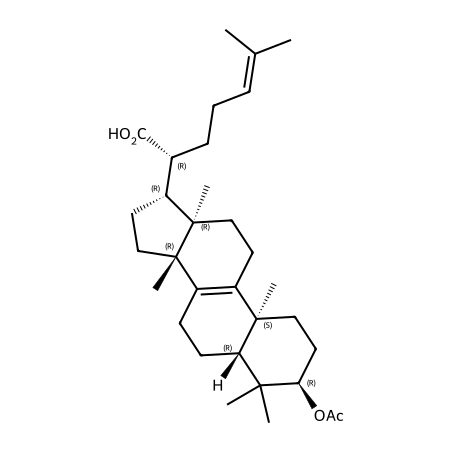 CC(=O)O[C@@H]1CC[C@]2(C)C3=C(CC[C@H]2C1(C)C)[C@]1(C)CC[C@H]([C@@H](CCC=C(C)C)C(=O)O)[C@@]1(C)CC3